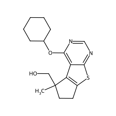 CC1(CO)CCc2sc3ncnc(OC4CCCCC4)c3c21